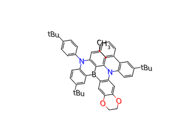 Cc1cc2c3c(c1)N(c1ccc(C(C)(C)C)cc1-c1ccccc1)c1cc4c(cc1B3c1cc(C(C)(C)C)ccc1N2c1ccc(C(C)(C)C)cc1)OCCO4